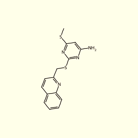 CSc1cc(N)nc(SCc2ccc3ccccc3n2)n1